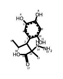 CCC(c1cc(O)c(O)cc1O)C(C)(NN)C(=O)O